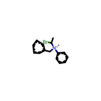 CC(Br)[N@+](C)(Cc1ccccc1)c1ccccc1